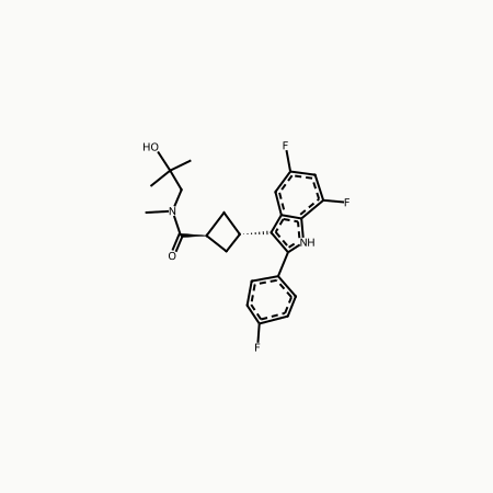 CN(CC(C)(C)O)C(=O)[C@H]1C[C@H](c2c(-c3ccc(F)cc3)[nH]c3c(F)cc(F)cc32)C1